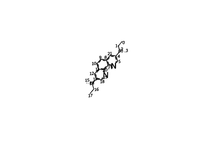 CC[C@H](C)c1cnc2c(ccc3cc([C@@H](C)CC)cnc32)c1